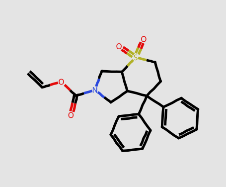 C=COC(=O)N1CC2C(C1)S(=O)(=O)CCC2(c1ccccc1)c1ccccc1